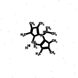 CC1=C(C)C(C)[C]([Zr]([C]2=C(C)C(C)=C(C)C2C)[SiH](C)C)=C1C.I.I